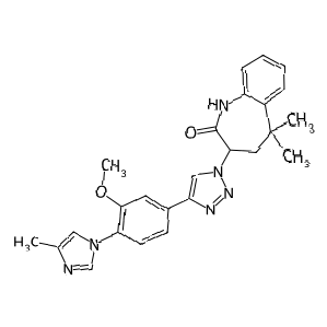 COc1cc(-c2cn(C3CC(C)(C)c4ccccc4NC3=O)nn2)ccc1-n1cnc(C)c1